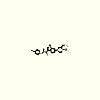 Cn1cc(C(=O)NCc2ccc(Cl)cc2)c2ccc(N3CCN(N)/C(=C\N)C3)cc21